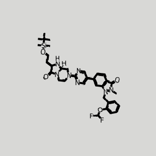 Cn1c(=O)c2ccc(-c3cnc(N4CCN5C(=O)C(CCO[Si](C)(C)C(C)(C)C)N[C@H]5C4)nc3)cc2n1Cc1ccccc1OC(F)F